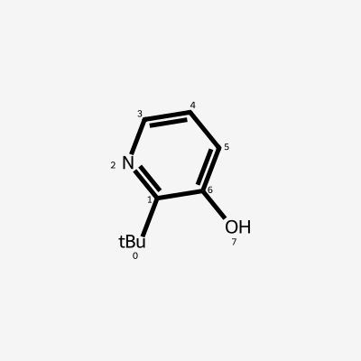 CC(C)(C)c1ncccc1O